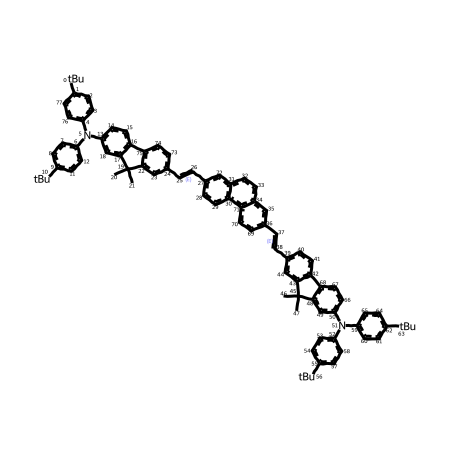 CC(C)(C)c1ccc(N(c2ccc(C(C)(C)C)cc2)c2ccc3c(c2)C(C)(C)c2cc(/C=C/c4ccc5c(ccc6cc(/C=C/c7ccc8c(c7)C(C)(C)c7cc(N(c9ccc(C(C)(C)C)cc9)c9ccc(C(C)(C)C)cc9)ccc7-8)ccc65)c4)ccc2-3)cc1